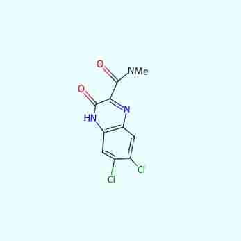 CNC(=O)c1nc2cc(Cl)c(Cl)cc2[nH]c1=O